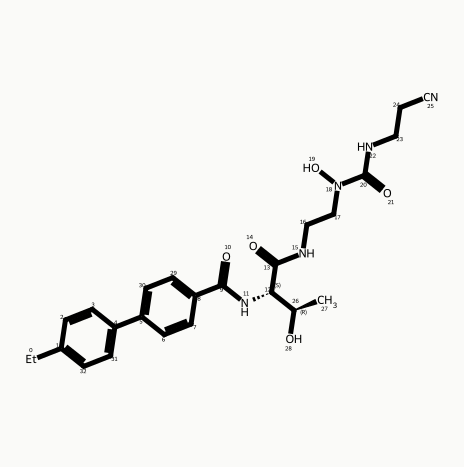 CCc1ccc(-c2ccc(C(=O)N[C@H](C(=O)NCCN(O)C(=O)NCCC#N)[C@@H](C)O)cc2)cc1